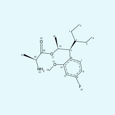 CCC(CC)[C@@H](c1ccc(F)cc1OC)[C@H](C)OC(=O)[C@H](C)N